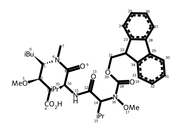 CC[C@H](C)[C@@H]([C@@H](CC(=O)O)OC)N(C)C(=O)[C@@H](NC(=O)C(C(C)C)N(OC)C(=O)OCC1c2ccccc2-c2ccccc21)C(C)C